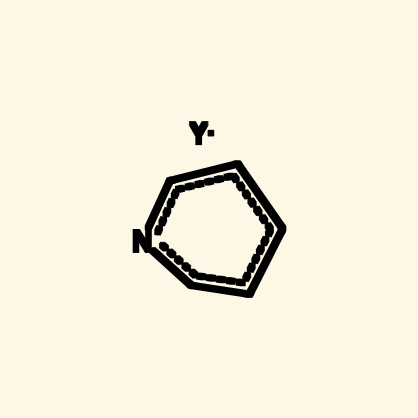 [Y].c1ccncc1